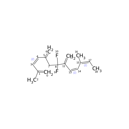 C=C(C)/C=C\C(=C)CC(F)(F)C(=C)/C=C\C(C)=C/C